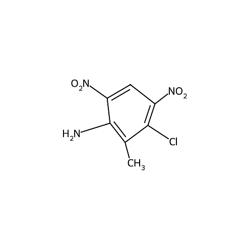 Cc1c(N)c([N+](=O)[O-])cc([N+](=O)[O-])c1Cl